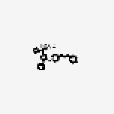 C[C@@H](C(=O)O)N(C1CCC1)C1C[C@H](CN2CCC(CCCc3ccc(F)cc3)CC2)[C@@H](c2ccccc2)C1